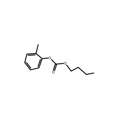 CCCCOC(=O)Oc1ccccc1C